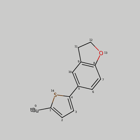 CC(C)(C)c1ccc(-c2ccc3c(c2)CCO3)s1